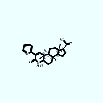 C[C@]12C=C(c3ccccn3)C(=O)N[C@@H]1CC[C@@H]1[C@@H]2CC[C@]2(C)[C@@H](C(=O)S)CC[C@@H]12